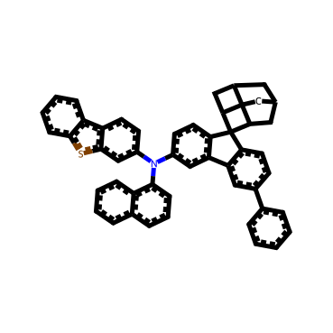 c1ccc(-c2ccc3c(c2)-c2cc(N(c4ccc5c(c4)sc4ccccc45)c4cccc5ccccc45)ccc2C32C3CC4CC5CC2C53C4)cc1